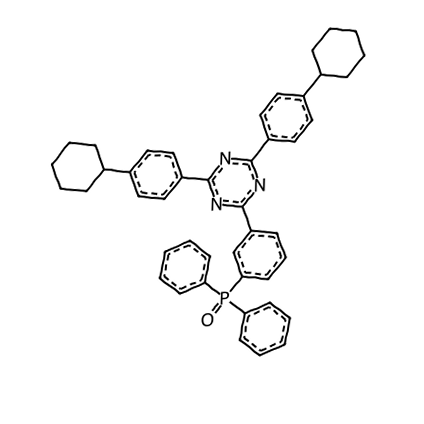 O=P(c1ccccc1)(c1ccccc1)c1cccc(-c2nc(-c3ccc(C4CCCCC4)cc3)nc(-c3ccc(C4CCCCC4)cc3)n2)c1